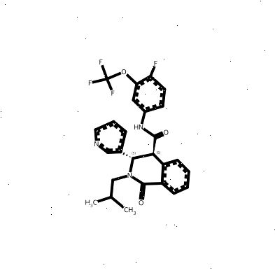 CC(C)CN1C(=O)c2ccccc2[C@H](C(=O)Nc2ccc(F)c(OC(F)(F)F)c2)[C@H]1c1cccnc1